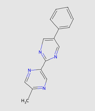 Cc1cnc(-c2ncc(-c3ccccc3)cn2)cn1